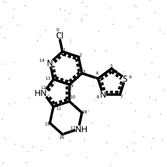 Clc1cc(-c2cscn2)c2c3c([nH]c2n1)CCNC3